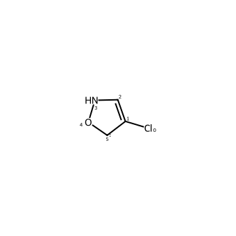 ClC1=CNO[C]1